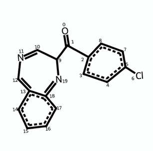 O=C(c1ccc(Cl)cc1)C1C=NC=c2ccccc2=N1